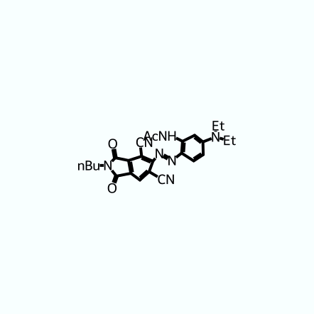 CCCCN1C(=O)c2cc(C#N)c(/N=N/c3ccc(N(CC)CC)cc3NC(C)=O)c(C#N)c2C1=O